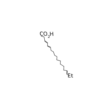 CC/C=C/CCCCCCCCC/C=C/C=C/CCC(=O)O